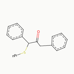 CCCSC(C(=O)Cc1ccccc1)c1ccccc1